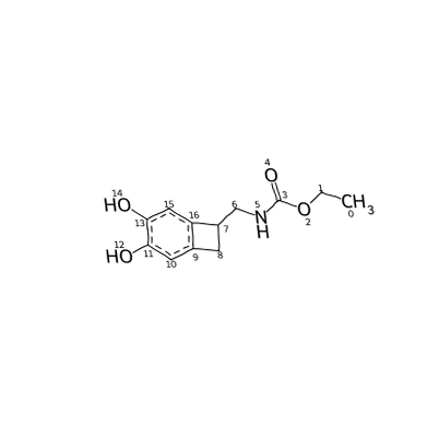 CCOC(=O)NCC1Cc2cc(O)c(O)cc21